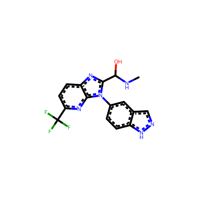 CNC(O)c1nc2ccc(C(F)(F)F)nc2n1-c1ccc2[nH]ncc2c1